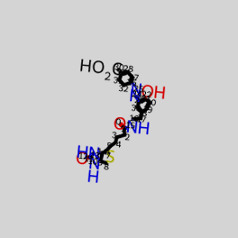 O=C(CCCCC1SCC2NC(=O)NC21)NCCc1ccc(O)c(/N=N/C2=CC=C(C(=O)O)CC2)c1